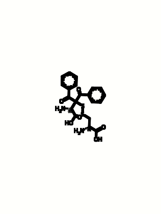 N[C@H](CSSC(C(=O)c1ccccc1)(C(=O)c1ccccc1)[C@@H](N)C(=O)O)C(=O)O